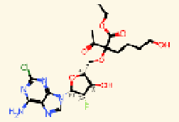 CCOC(=O)C(CCCCO)(OC[C@H]1O[C@@H](n2cnc3c(N)nc(Cl)nc32)[C@@H](F)[C@@H]1O)C(C)=O